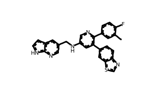 Cc1cc(-c2ncc(NCc3cnc4[nH]ccc4c3)cc2-c2ccc3ncsc3c2)ccc1F